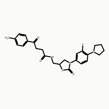 Cc1ccc(C(=O)CCC(=O)NCC2CN(c3ccc(N4CCCC4)c(F)c3)C(=O)O2)cc1